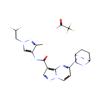 O=C(Nc1cn(CC(F)F)nc1C(F)(F)F)c1cnn2ccc(N3CC4CCC3CN4)nc12.O=C(O)C(F)(F)F